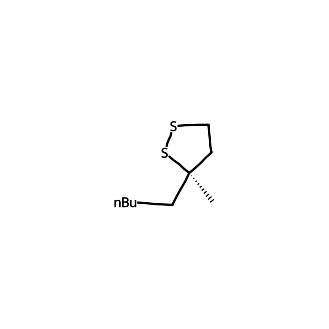 CCCCC[C@]1(C)CCSS1